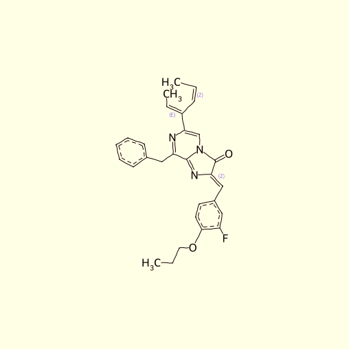 C/C=C\C(=C/C)C1=CN2C(=O)/C(=C/c3ccc(OCCC)c(F)c3)N=C2C(Cc2ccccc2)=N1